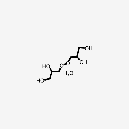 O.OCC(O)COOCC(O)CO